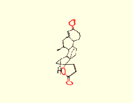 CCC12CCC3C4CCC(=O)C=C4C[C@H](C)C3C1C1C[C@H]1C21CCC(=O)O1